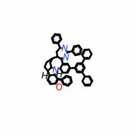 C1=CCC(c2cc(C3=CCCC=C3)cc(C3=CCC4C(=C3)C3=NC(c5ccccc5)=NC(c5ccccc5)CC3C3CCC5C(C3)N4[C@H]3c4c(oc6ccccc46)C=C[C@@H]53)c2)C=C1